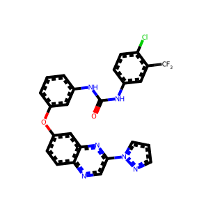 O=C(Nc1cccc(Oc2ccc3ncc(-n4cccn4)nc3c2)c1)Nc1ccc(Cl)c(C(F)(F)F)c1